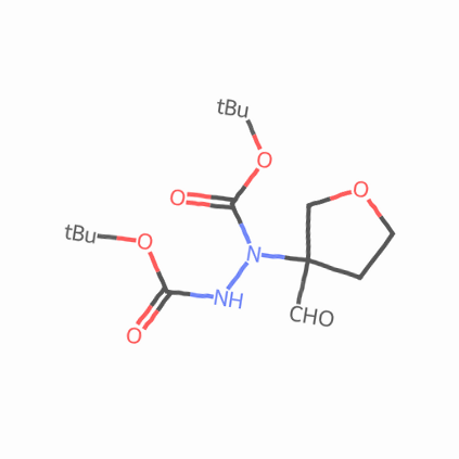 CC(C)(C)OC(=O)NN(C(=O)OC(C)(C)C)C1(C=O)CCOC1